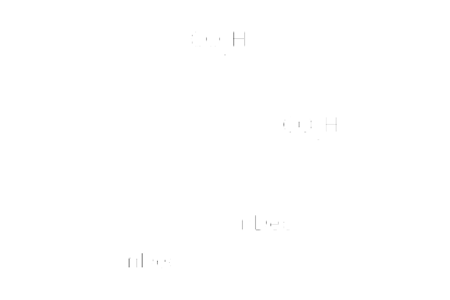 CCCCCCCCCCc1ccc(C(=O)O)c(C(=O)O)c1CCCCCCCCCC